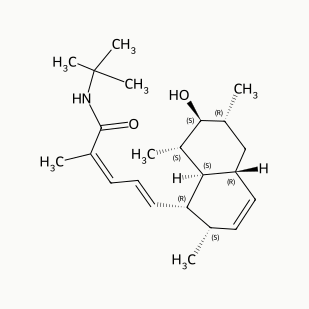 CC(=CC=C[C@@H]1[C@H]2[C@H](C)[C@@H](O)[C@H](C)C[C@@H]2C=C[C@@H]1C)C(=O)NC(C)(C)C